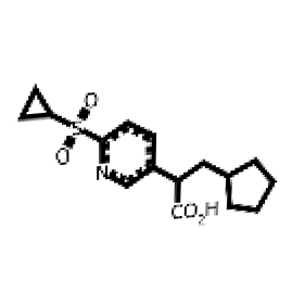 O=C(O)C(CC1CCCC1)c1ccc(S(=O)(=O)C2CC2)nc1